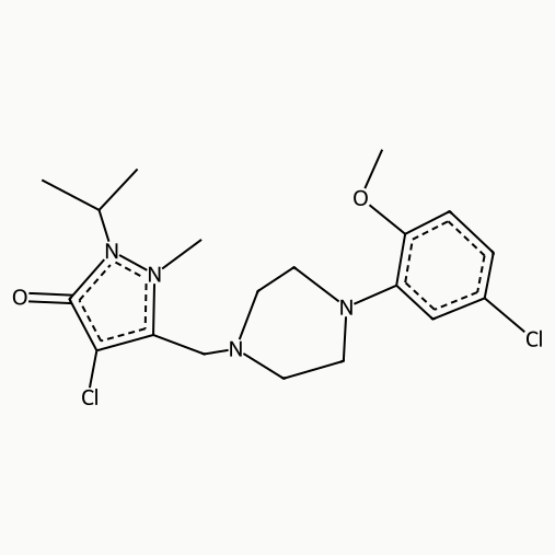 COc1ccc(Cl)cc1N1CCN(Cc2c(Cl)c(=O)n(C(C)C)n2C)CC1